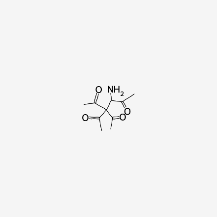 CC(=O)C(N)C(C(C)=O)(C(C)=O)C(C)=O